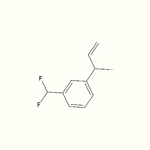 [CH2]C(C=C)c1cccc(C(F)F)c1